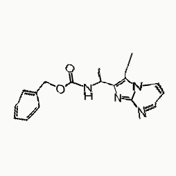 CC(NC(=O)OCc1ccccc1)c1nc2ncccn2c1I